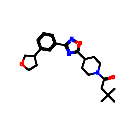 CC(C)(C)CC(=O)N1CCC(c2nc(-c3cccc(C4CCOC4)c3)no2)CC1